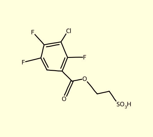 O=C(OCCS(=O)(=O)O)c1cc(F)c(F)c(Cl)c1F